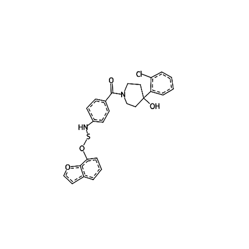 O=C(c1ccc(NSOc2cccc3ccoc23)cc1)N1CCC(O)(c2ccccc2Cl)CC1